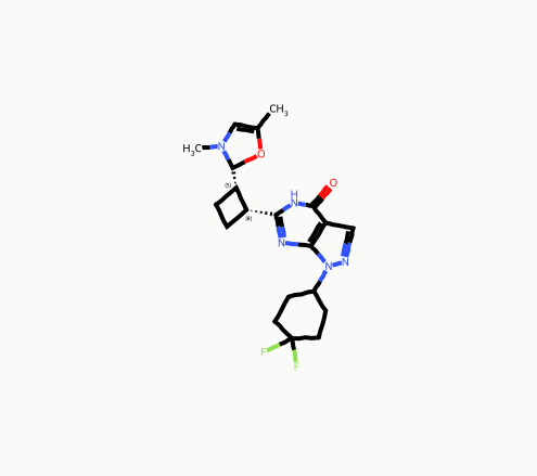 CC1=CN(C)C([C@H]2CC[C@H]2c2nc3c(cnn3C3CCC(F)(F)CC3)c(=O)[nH]2)O1